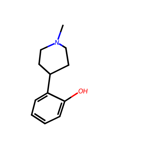 CN1CCC(c2ccccc2O)CC1